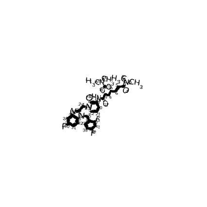 CN(C)C(=O)/C=C/CCC(OC(=O)N(C)C)C(=O)Nc1cccn(Cc2nc3cc(F)ccc3n2Cc2ccc(F)cc2F)c1=O